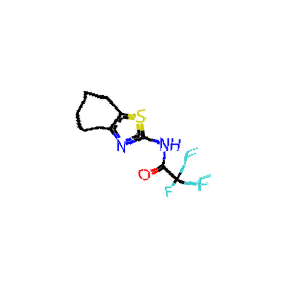 O=C(Nc1nc2c(s1)CCCC2)C(F)(F)F